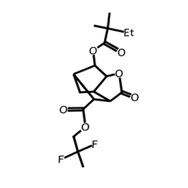 CCC(C)(C)C(=O)OC1C2CC3C1OC(=O)C3C2C(=O)OCC(C)(F)F